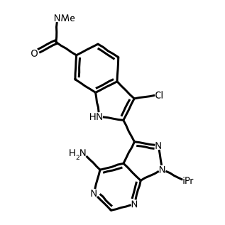 CNC(=O)c1ccc2c(Cl)c(-c3nn(C(C)C)c4ncnc(N)c34)[nH]c2c1